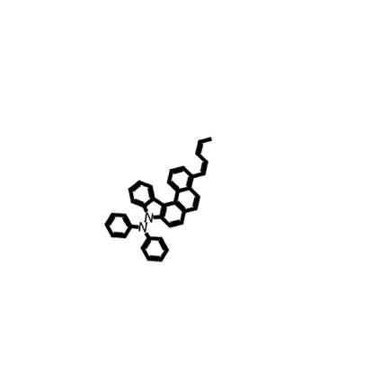 C/C=C\C=C/c1cccc2c1ccc1ccc3c(c4ccccc4n3N(c3ccccc3)c3ccccc3)c12